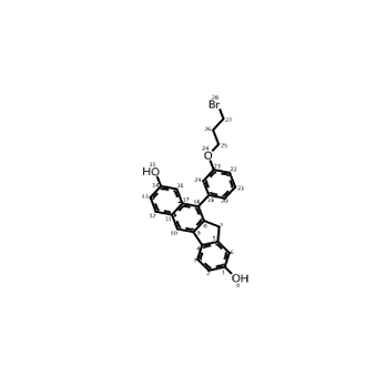 Oc1ccc2c(c1)Cc1c-2cc2ccc(O)cc2c1-c1cccc(OCCCBr)c1